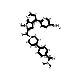 C[C@@H](c1cc2c(-c3ccc(N)cn3)ccnc2n1C)N1CC=C(c2ccc(C(=O)N(C)C)cc2)CC1